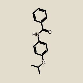 CC(C)Oc1ccc(NC(=O)c2ccccc2)cc1